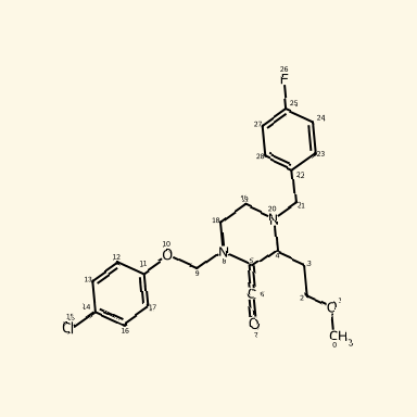 COCCC1C(=C=O)N(COc2ccc(Cl)cc2)CCN1Cc1ccc(F)cc1